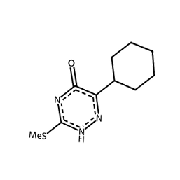 CSc1nc(=O)c(C2CCCCC2)n[nH]1